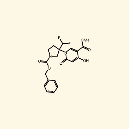 COC(=O)c1cn(C2(C(F)F)CCN(C(=O)OCc3ccccc3)C2)c(=O)cc1O